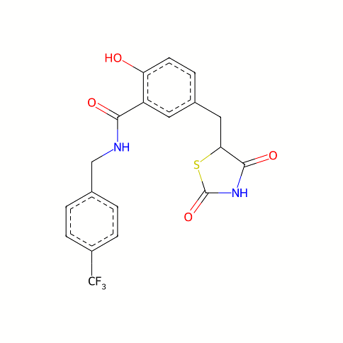 O=C1NC(=O)C(Cc2ccc(O)c(C(=O)NCc3ccc(C(F)(F)F)cc3)c2)S1